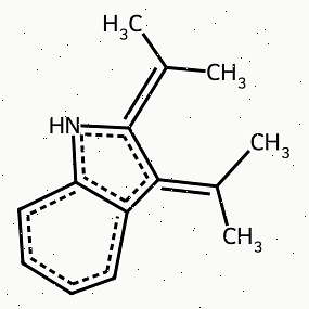 CC(C)=c1[nH]c2ccccc2c1=C(C)C